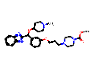 CN1CCC(OC(c2cccc(OCCCN3CCN(C(=O)OC(C)(C)C)CC3)c2)c2nc3ccccc3[nH]2)CC1